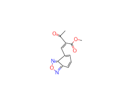 COC(=O)C(=Cc1cccc2nonc12)C(C)=O